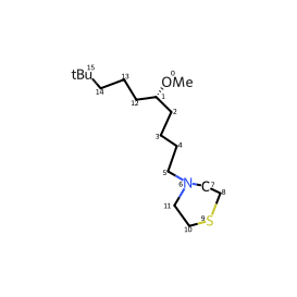 CO[C@H](CCCCN1CCSCC1)CCCC(C)(C)C